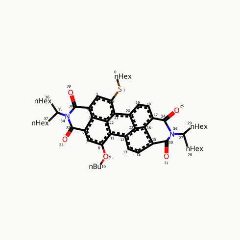 CCCCCCSc1cc2c3c(cc(OCCCC)c4c5ccc6c7c(ccc(c1c34)c75)C(=O)N(C(CCCCCC)CCCCCC)C6=O)C(=O)N(C(CCCCCC)CCCCCC)C2=O